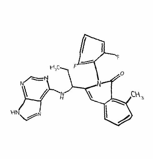 CCC(Nc1ncnc2[nH]cnc12)c1cc2cccc(C)c2c(=O)n1-c1c(F)cccc1F